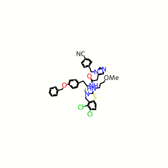 COCCCNC(=S)N(Cc1cccc(Cl)c1Cl)C[C@H](Cc1ccc(OCc2ccccc2)cc1)NC(=O)Cc1cncn1Cc1ccc(C#N)cc1